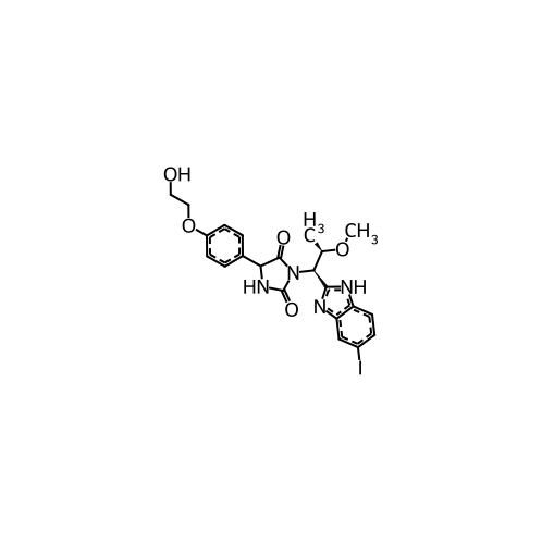 CO[C@H](C)[C@@H](c1nc2cc(I)ccc2[nH]1)N1C(=O)NC(c2ccc(OCCO)cc2)C1=O